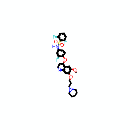 COc1cc2c(Oc3ccc(NS(=O)(=O)c4c(F)cccc4F)cc3F)ccnc2cc1OCCCN1CCCCC1